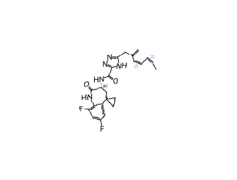 C=C(/C=C\C=C/C)Cc1nnc(C(=O)N[C@@H]2CC3(CC3)c3cc(F)cc(F)c3NC2=O)[nH]1